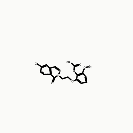 CCCCC(=O)Oc1c(OCC)cccc1OCCn1ncc2cc(Cl)ccc2c1=O